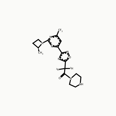 [2H]C([2H])(C(=O)N1CCNCC1)c1nc(-c2cc(C(F)(F)F)nc(N3CC[C@@H]3C)n2)no1